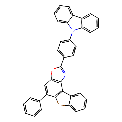 c1ccc(-c2cc3oc(-c4ccc(-n5c6ccccc6c6ccccc65)cc4)nc3c3c2sc2ccccc23)cc1